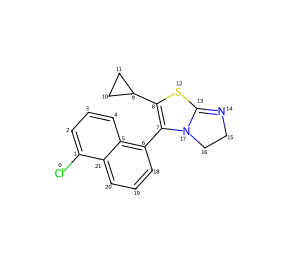 Clc1cccc2c(C3=C(C4CC4)SC4=NCCN43)cccc12